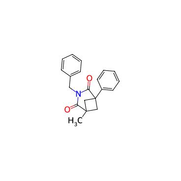 CC12CC(c3ccccc3)(C1)C(=O)N(Cc1ccccc1)C2=O